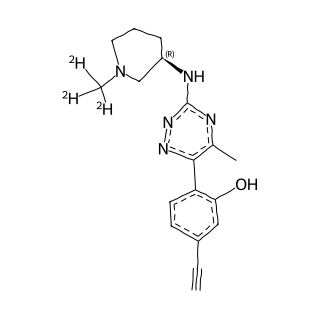 [2H]C([2H])([2H])N1CCC[C@@H](Nc2nnc(-c3ccc(C#C)cc3O)c(C)n2)C1